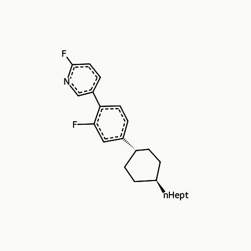 CCCCCCC[C@H]1CC[C@H](c2ccc(-c3ccc(F)nc3)c(F)c2)CC1